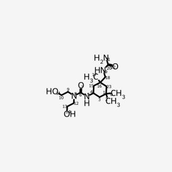 CC1(C)CC(NC(=O)N(CCO)CCO)CC(C)(CNC(N)=O)C1